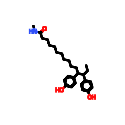 CCC(c1ccc(O)cc1)C(CCCCCCCCCCC(=O)NC)c1ccc(O)cc1